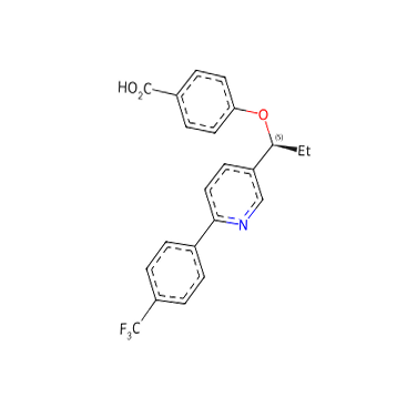 CC[C@H](Oc1ccc(C(=O)O)cc1)c1ccc(-c2ccc(C(F)(F)F)cc2)nc1